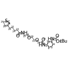 CC(C)(C)OC(=O)Nc1cccc(NC(=O)COCCOCCNC(=O)CCCCC2CCSS2)c1